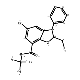 [2H]C([2H])([2H])NC(=O)c1cc(Br)cc2c1OC(CF)C2c1ccccc1